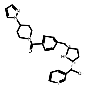 O=C(c1ccc(C[C@H]2CC[C@H](C(O)c3cccnc3)N2)cc1)N1CCC(n2cccn2)CC1